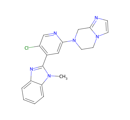 Cn1c(-c2cc(N3CCn4ccnc4C3)ncc2Cl)nc2ccccc21